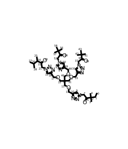 CCC(C)(C)C(=O)Cn1cc(COCC(COCc2cn(CC(=O)C(C)C(C)C)nn2)(COCc2cn(CC(=O)C(C)(C)C)nn2)COCc2cn(CC(=O)C(C)(C)C)nn2)nn1